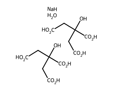 O.O=C(O)CC(O)(CC(=O)O)C(=O)O.O=C(O)CC(O)(CC(=O)O)C(=O)O.[NaH]